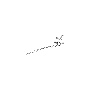 CCCCCCCCCCCCCCCCCc1cc(F)c(C(=O)OCC)[nH]1